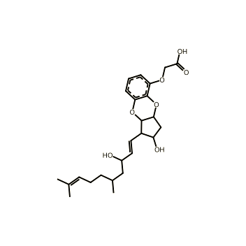 CC(C)=CCCC(C)CC(O)C=CC1C(O)CC2Oc3c(OCC(=O)O)cccc3OC21